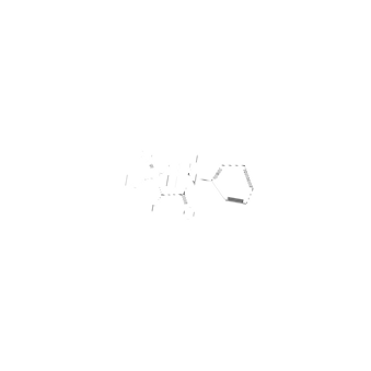 CCC(C(=O)N(CC)c1ccccc1)P(=O)(O)O